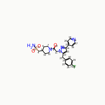 NS(=O)(=O)CC1CCN(C(=O)Cn2nc(-c3ccncc3)cc2Cc2ccc(F)cc2)CC1